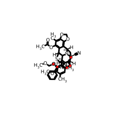 COCOc1c(OC)c(C)cc2c1[C@@H]1C3[C@@H]4SC[C@H](NC(=O)c5ccccc5)C(=O)OC[C@@H](c5c6c(c(C)c(OC(C)=O)c54)OCO6)N3[C@@H](C#N)[C@H](C2)N1C